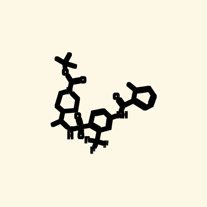 Cc1ccccc1C(=O)Nc1ccc(S(=O)(=O)NC(C)C2CCN(C(=O)OC(C)(C)C)CC2)c(C(F)(F)F)c1